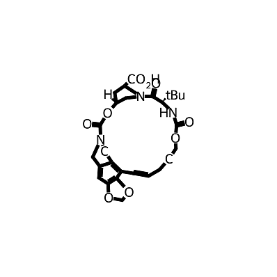 CC(C)(C)[C@@H]1NC(=O)OCCC/C=C\c2c3c(cc4c2OCO4)CN(C3)C(=O)O[C@@H]2CC(C(=O)O)N(C2)C1=O